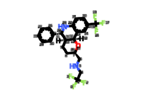 FC(F)(F)CNC[C@H]1CC[C@@H]2[C@H](O1)c1cc(C(F)(F)F)ccc1N[C@H]2c1ccccc1